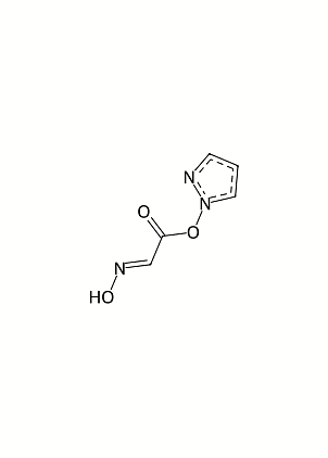 O=C(C=NO)On1cccn1